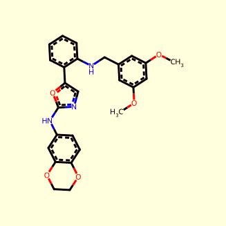 COc1cc(CNc2ccccc2-c2cnc(Nc3ccc4c(c3)OCCO4)o2)cc(OC)c1